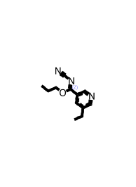 CCCO/C(=N\C#N)c1cncc(CC)c1